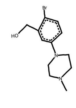 CN1CCN(c2ccc(Br)c(CO)c2)CC1